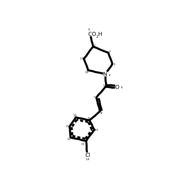 O=C(O)C1CCN(C(=O)/C=C/c2cccc(Cl)c2)CC1